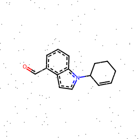 O=Cc1cccc2c1ccn2C1C=CCCC1